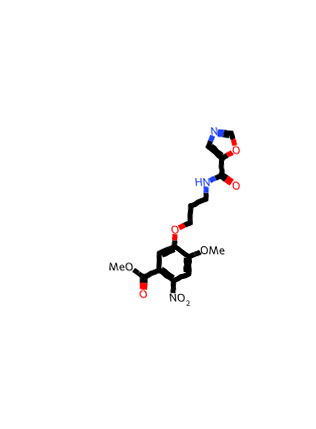 COC(=O)c1cc(OCCCNC(=O)c2cnco2)c(OC)cc1[N+](=O)[O-]